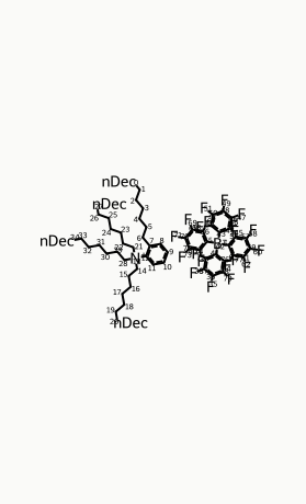 CCCCCCCCCCCCCCCCc1ccccc1[N+](CCCCCCCCCCCCCCCC)(CCCCCCCCCCCCCCCC)CCCCCCCCCCCCCCCC.Fc1c(F)c(F)c([B-](c2c(F)c(F)c(F)c(F)c2F)(c2c(F)c(F)c(F)c(F)c2F)c2c(F)c(F)c(F)c(F)c2F)c(F)c1F